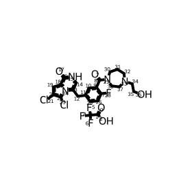 O=C(O)C(F)(F)F.O=C(c1cc(Cc2c[nH]c(=O)c3cc(Cl)c(Cl)n23)ccc1F)N1CCCN(CCO)CC1